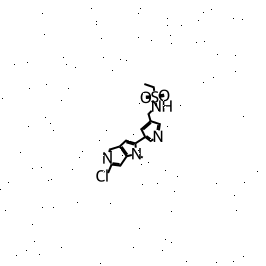 CCS(=O)(=O)NCc1cncc(-c2cc3cnc(Cl)cc3n2C)c1